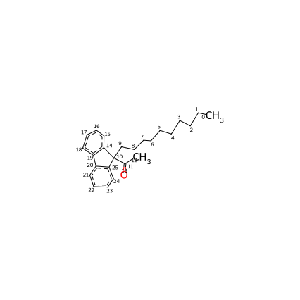 CCCCCCCCCCC1(C(C)=O)c2ccccc2-c2ccccc21